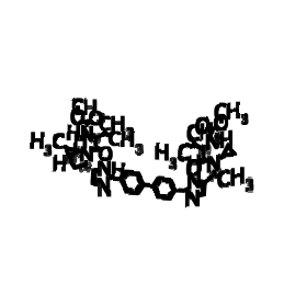 COC(=O)N[C@H](C(=O)N(C1CC1)[C@@H](C)c1cnc(-c2ccc(-c3ccc(-c4ncc([C@@H]5C[C@H]6C(C)[C@H]6N5C(=O)[C@@H](NC(=O)OC)C(C)C)[nH]4)cc3)cc2)[nH]1)C(C)C